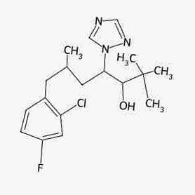 CC(Cc1ccc(F)cc1Cl)CC(C(O)C(C)(C)C)n1cncn1